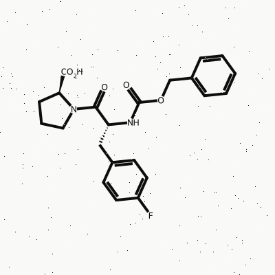 O=C(N[C@H](Cc1ccc(F)cc1)C(=O)N1CCC[C@H]1C(=O)O)OCc1ccccc1